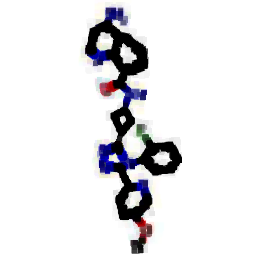 CCOc1ccc(-c2nnc([C@H]3C[C@H](NC(=O)c4cccc5c(N)ccnc45)C3)n2-c2ccccc2F)nc1